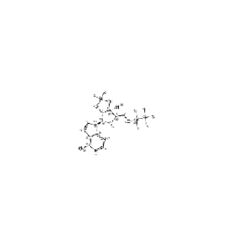 CC1(C)OC2[C@@H](O1)[C@@H](CO[Si](C)(C)C(C)(C)C)O[C@H]2n1ccc2c(Cl)ncnc21